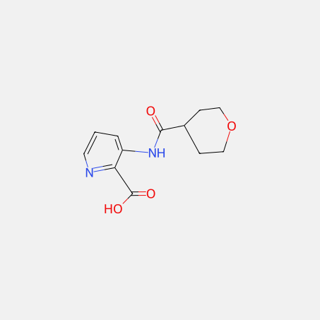 O=C(O)c1ncccc1NC(=O)C1CCOCC1